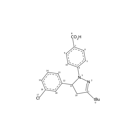 CC(C)(C)C1=NN(c2ccc(C(=O)O)cc2)C(c2cccc(Cl)c2)C1